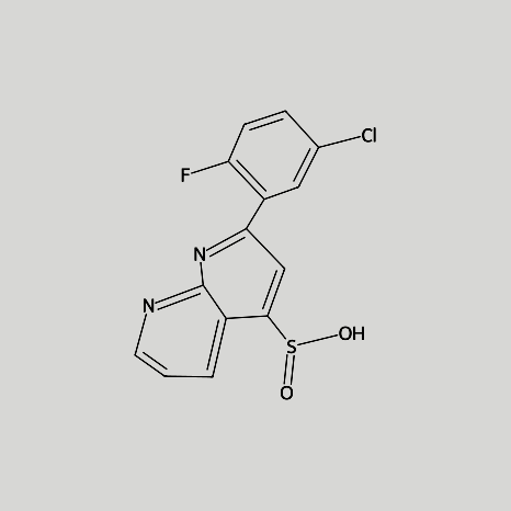 O=S(O)c1cc(-c2cc(Cl)ccc2F)nc2ncccc12